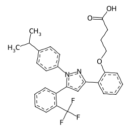 CC(C)c1ccc(-n2nc(-c3ccccc3OCCCC(=O)O)cc2-c2ccccc2C(F)(F)F)cc1